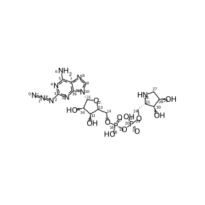 [N-]=[N+]=Nc1nc(N)c2ncn([C@@H]3OC(COP(=O)(O)OP(=O)(O)OC[C@@H]4NC[C@@H](O)[C@H]4O)[C@@H](O)[C@H]3O)c2n1